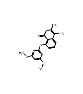 COc1cc(OC)nc(Oc2cccc3c(C)c(C)oc(=O)c23)n1